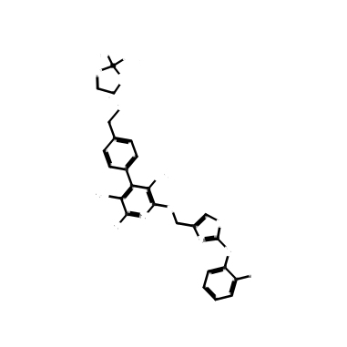 CC1(C)OC[C@@H](CCc2ccc(-c3c(C#N)c(N)nc(SCc4csc(Nc5ccccc5F)n4)c3C#N)cc2)O1